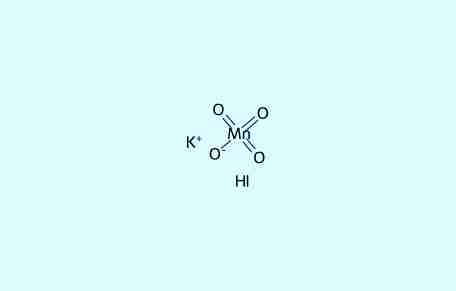 I.[K+].[O]=[Mn](=[O])(=[O])[O-]